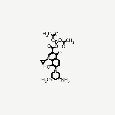 CC(=O)OB(OC(C)=O)OC(=O)c1cn(C2CC2)c2c(O)c(N3C[C@@H](C)C[C@H](N)C3)ccc2c1=O